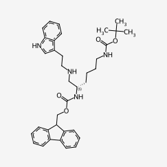 CC(C)(C)OC(=O)NCCCC[C@@H](CNCCc1c[nH]c2ccccc12)NC(=O)OCC1c2ccccc2-c2ccccc21